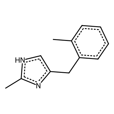 Cc1nc(Cc2ccccc2C)c[nH]1